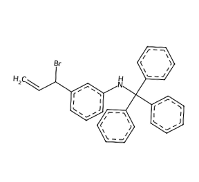 C=CC(Br)c1cccc(NC(c2ccccc2)(c2ccccc2)c2ccccc2)c1